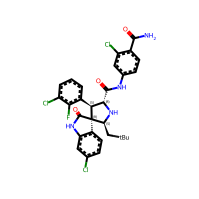 CC(C)(C)C[C@@H]1N[C@@H](C(=O)Nc2ccc(C(N)=O)c(Cl)c2)[C@H](c2cccc(Cl)c2F)[C@]12C(=O)Nc1cc(Cl)ccc12